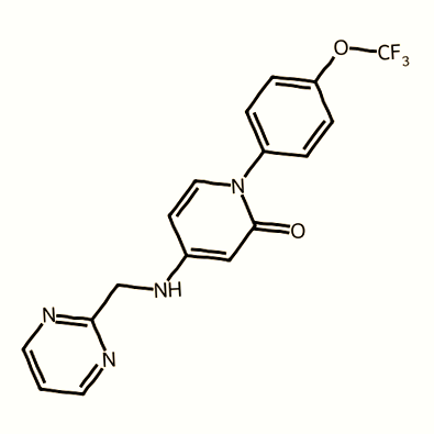 O=c1cc(NCc2ncccn2)ccn1-c1ccc(OC(F)(F)F)cc1